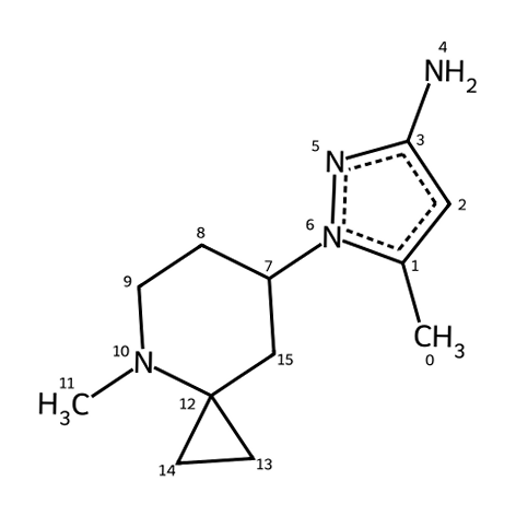 Cc1cc(N)nn1C1CCN(C)C2(CC2)C1